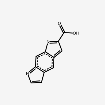 O=C(O)C1=Nc2cc3c(cc2=C1)C=CN=3